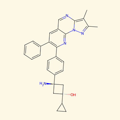 Cc1nn2c(ncc3cc(-c4ccccc4)c(-c4ccc([C@]5(N)C[C@@](O)(C6CC6)C5)cc4)nc32)c1C